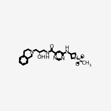 CS(=O)(=O)N1CC(Nc2cc(C(=O)NC[C@H](O)CN3CCc4ccccc4C3)ncn2)C1